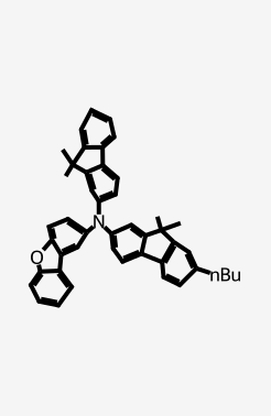 CCCCc1ccc2c(c1)C(C)(C)c1cc(N(c3ccc4c(c3)C(C)(C)c3ccccc3-4)c3ccc4oc5ccccc5c4c3)ccc1-2